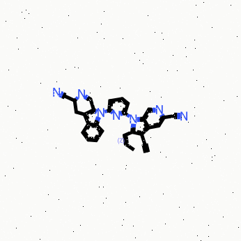 C#Cc1c(/C=C\C)n(-c2cccc(-n3c4c(c5ccccc53)CC(C#N)N=C4)n2)c2cnc(C#N)cc12